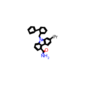 CC(C)c1c[c]c2c3c(C(N)=O)cccc3n(Cc3ccccc3-c3ccccc3)c2c1